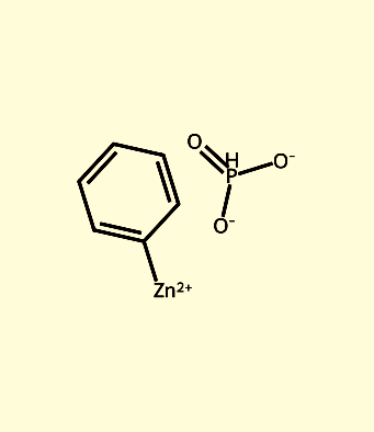 O=[PH]([O-])[O-].[Zn+2][c]1ccccc1